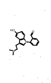 CN(C)CCc1cn(-c2ccccc2C=O)c2ccc(O)cc12